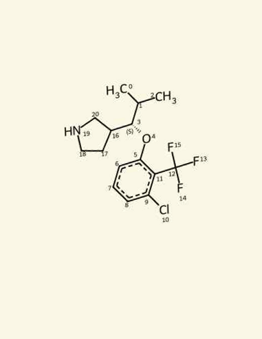 CC(C)[C@H](Oc1cccc(Cl)c1C(F)(F)F)C1CCNC1